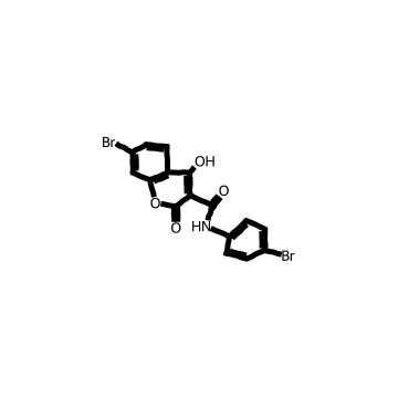 O=C(Nc1ccc(Br)cc1)c1c(O)c2ccc(Br)cc2oc1=O